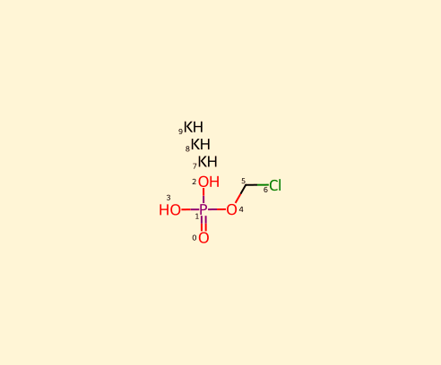 O=P(O)(O)OCCl.[KH].[KH].[KH]